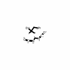 CCC(C)(C)CC(C)C.O=C=NCN=C=O